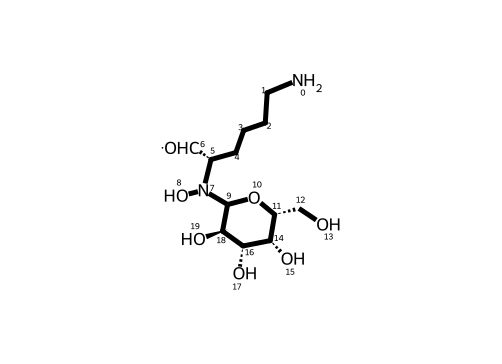 NCCCC[C@@H]([C]=O)N(O)C1O[C@H](CO)[C@H](O)[C@H](O)[C@H]1O